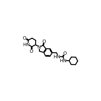 O=C1CCC(N2Cc3ccc(CNC(=O)NC4CCCCC4)cc3C2=O)C(=O)N1